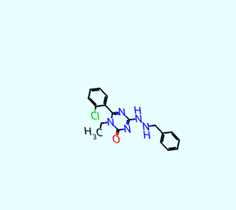 CCn1c(-c2ccccc2Cl)nc(NNCc2ccccc2)nc1=O